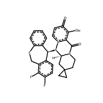 O=C1c2c(O)c(=O)ccn2N([C@@H]2c3ccccc3SCc3c2ccc(F)c3F)[C@@H]2CC3(CCN12)CC3